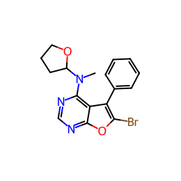 CN(c1ncnc2oc(Br)c(-c3ccccc3)c12)C1CCCO1